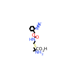 C[C@](N)(CSCCNC(=O)OCc1ccccc1N=[N+]=[N-])C(=O)O